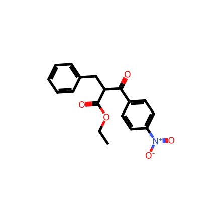 CCOC(=O)C(Cc1ccccc1)C(=O)c1ccc([N+](=O)[O-])cc1